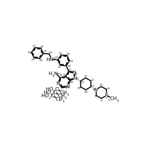 CC(=O)O.CC(=O)O.CC(=O)O.CN1CCN([C@H]2CC[C@@H](n3nc(-c4cccc(NCc5ccccc5)c4)c4c(N)ncnc43)CC2)CC1